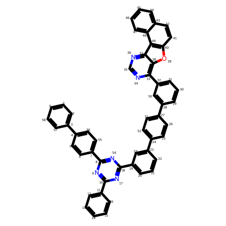 c1ccc(-c2ccc(-c3nc(-c4ccccc4)nc(-c4cccc(-c5ccc(-c6cccc(-c7ncnc8c7oc7ccc9ccccc9c78)c6)cc5)c4)n3)cc2)cc1